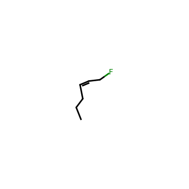 CCC/C=C\CF